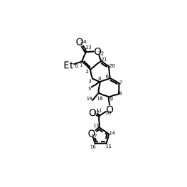 CCC1=C2CC3(C)C(=CCC(OC(=O)c4ccco4)C3C)C=C2OC1=O